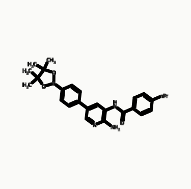 CCCc1ccc(C(=O)Nc2cc(-c3ccc(B4OC(C)(C)C(C)(C)O4)cc3)cnc2N)cc1